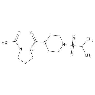 CC(C)S(=O)(=O)N1CCN(C(=O)[C@@H]2CCCN2C(=O)O)CC1